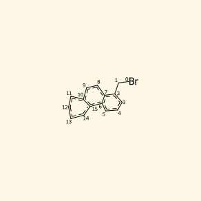 BrCc1cccc2c1ccc1ccccc12